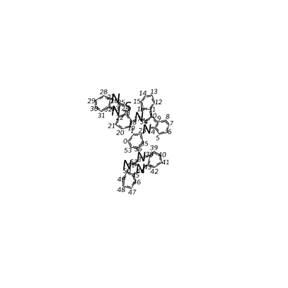 c1cc(-n2c3ccccc3c3c4ccccc4n(-c4cccc5c4sc4nc6ccccc6n45)c32)cc(-n2c3ccccc3n3c4ccccc4nc23)c1